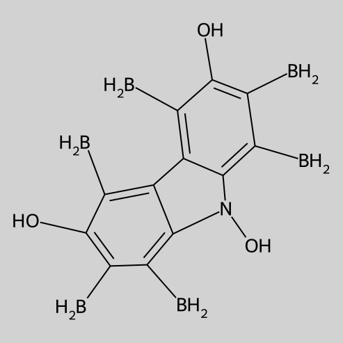 Bc1c(O)c(B)c2c3c(B)c(O)c(B)c(B)c3n(O)c2c1B